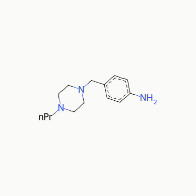 CCCN1CCN(Cc2ccc(N)cc2)CC1